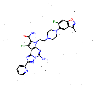 Cc1noc2cc(F)c(N3CCN(CCn4c(C(N)=O)c(Cl)c5c4nc(N)n4nc(-c6ccccn6)nc54)CC3)cc12